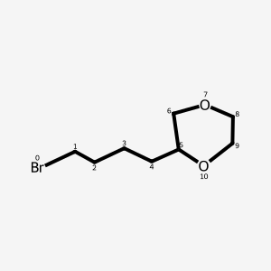 BrCCCCC1COCCO1